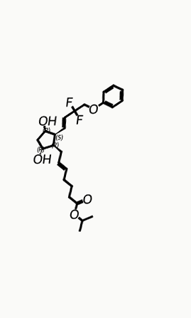 CC(C)OC(=O)CCCC=CC[C@@H]1[C@H](C=CC(F)(F)COc2ccccc2)[C@H](O)C[C@H]1O